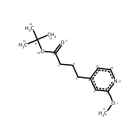 COc1cc(CCCC(=O)OC(C)(C)C)ccn1